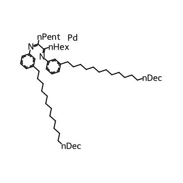 CCCCCCCCCCCCCCCCCCCCCCc1cccc(N=C(CCCCC)C(CCCCCC)=Nc2cccc(CCCCCCCCCCCCCCCCCCCCCC)c2)c1.[Pd]